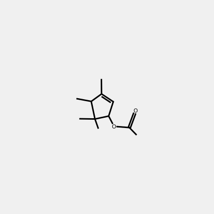 CC(=O)OC1C=C(C)C(C)C1(C)C